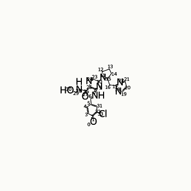 COc1ccc(CNc2nc(N3CCCC3Cc3ncccn3)cnc2C(=O)NCO)cc1Cl